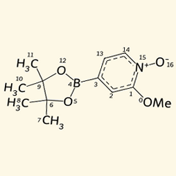 COc1cc(B2OC(C)(C)C(C)(C)O2)cc[n+]1[O-]